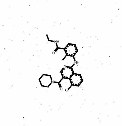 CCNC(=O)c1cccc(Nc2ncc(C(=O)N3CCCCC3)c3c(Cl)cccc23)c1C